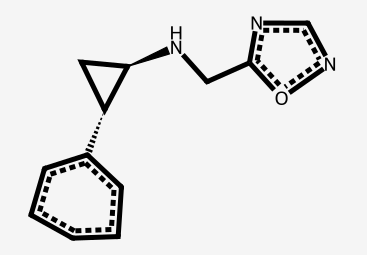 c1ccc([C@@H]2C[C@H]2NCc2ncno2)cc1